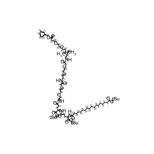 CC(C)(C)OC(=O)CCCCCCCCCCCCCCCCC(=O)N[C@@H](CCC(=O)N[C@@H](CCC(=O)NCCOCCOCC(=O)NCCOCCOCC(=O)NCC[N+](C)(C)CCOCCOCCC(=O)OCc1ccccc1)C(=O)OC(C)(C)C)C(=O)OC(C)(C)C